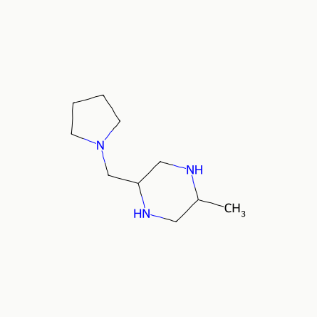 CC1CNC(CN2CCCC2)CN1